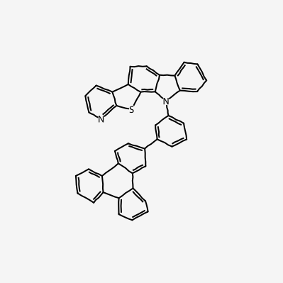 c1cc(-c2ccc3c4ccccc4c4ccccc4c3c2)cc(-n2c3ccccc3c3ccc4c5cccnc5sc4c32)c1